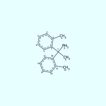 Cc1ccccc1C(C)(P)c1ccccc1C